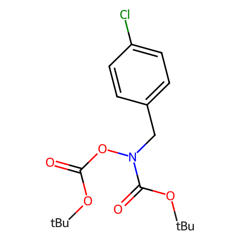 CC(C)(C)OC(=O)ON(Cc1ccc(Cl)cc1)C(=O)OC(C)(C)C